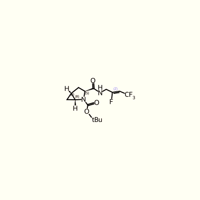 CC(C)(C)OC(=O)N1[C@@H]2C[C@@H]2C[C@H]1C(=O)NC/C(F)=C/C(F)(F)F